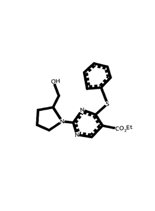 CCOC(=O)c1cnc(N2CCCC2CO)nc1Sc1ccccc1